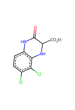 CCOC(=O)C1Nc2c(ccc(Cl)c2Cl)NC1=O